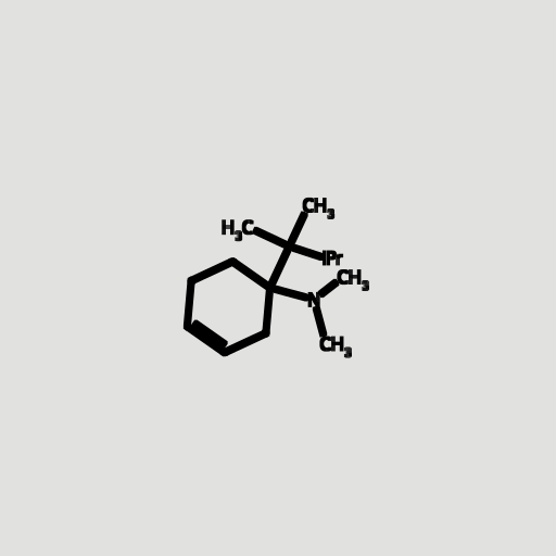 CC(C)C(C)(C)C1(N(C)C)CC=CCC1